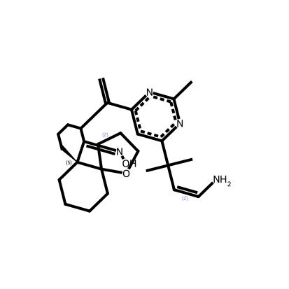 C=C(c1cc(C(C)(C)/C=C\N)nc(C)n1)C1CCC[C@@]2(CCCCC23CCCO3)/C1=N\O